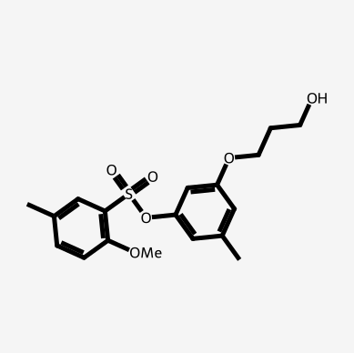 COc1ccc(C)cc1S(=O)(=O)Oc1cc(C)cc(OCCCO)c1